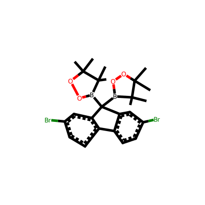 CC1(C)OOB(C2(B3OOC(C)(C)C3(C)C)c3cc(Br)ccc3-c3ccc(Br)cc32)C1(C)C